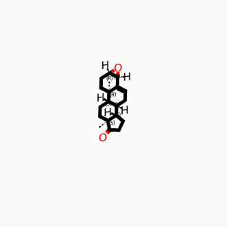 C[C@]12CC[C@H]3O[C@H]3C1=CC[C@@H]1[C@@H]2CC[C@]2(C)C(=O)CC[C@@H]12